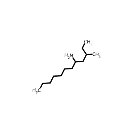 CCCCCCCC(N)CC(C)CC